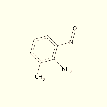 Cc1cccc(N=O)c1N